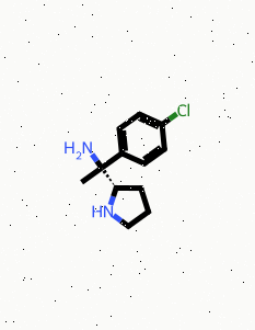 CC(N)(c1ccc(Cl)cc1)[C@@H]1CCCN1